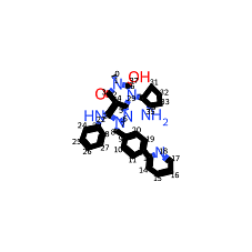 CN1C(=O)c2c(nn(Cc3ccc(-c4ccccn4)cc3)c2Nc2ccccc2)N(C2CCCC2N)C1O